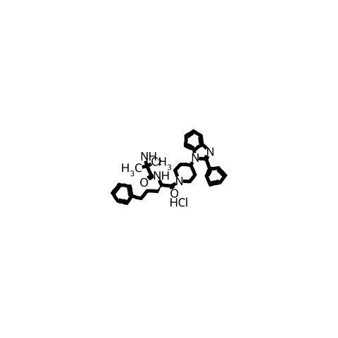 CC(C)(N)C(=O)N[C@H](CCCc1ccccc1)C(=O)N1CCC(n2c(-c3ccccc3)nc3ccccc32)CC1.Cl